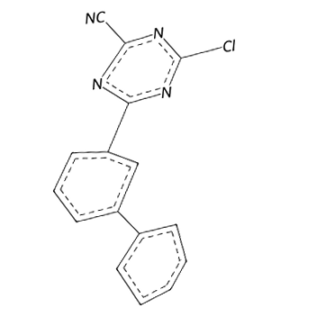 N#Cc1nc(Cl)nc(-c2cccc(-c3ccccc3)c2)n1